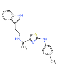 C=C(NCCc1c[nH]c2ccccc12)c1csc(Nc2ccc(C)cc2)n1